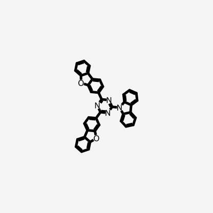 c1ccc2c(c1)oc1cc(-c3nc(-c4ccc5c(c4)oc4ccccc45)nc(-n4c5ccccc5c5ccccc54)n3)ccc12